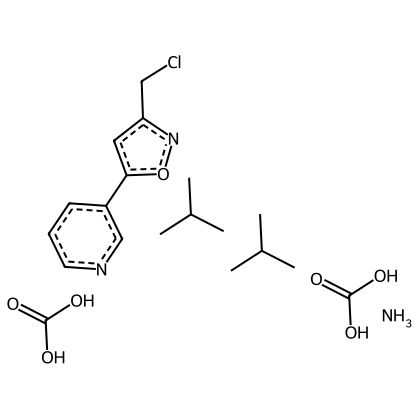 CC(C)C.CC(C)C.ClCc1cc(-c2cccnc2)on1.N.O=C(O)O.O=C(O)O